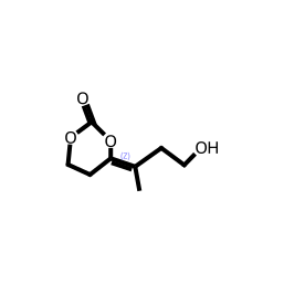 C/C(CCO)=C1\CCOC(=O)O1